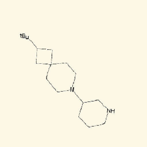 CC(C)(C)C1CC2(CCN(C3CCCNC3)CC2)C1